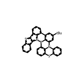 CC(C)(C)c1cc2c3c(c1)N1c4ccccc4Sc4cccc(c41)B3n1c3c-2cccc3c2sc3ccccc3c21